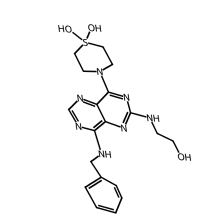 OCCNc1nc(N2CCS(O)(O)CC2)c2ncnc(NCc3ccccc3)c2n1